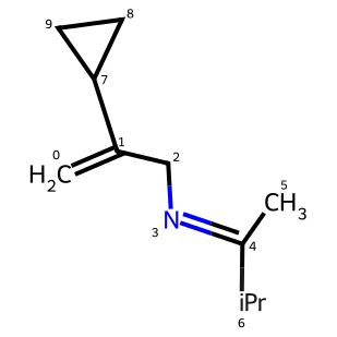 C=C(C/N=C(\C)C(C)C)C1CC1